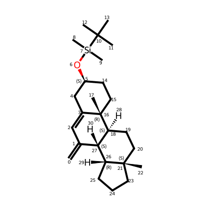 C=C1C=C2C[C@@H](O[Si](C)(C)C(C)(C)C)CC[C@]2(C)[C@H]2CC[C@]3(C)CCC[C@@H]3[C@H]12